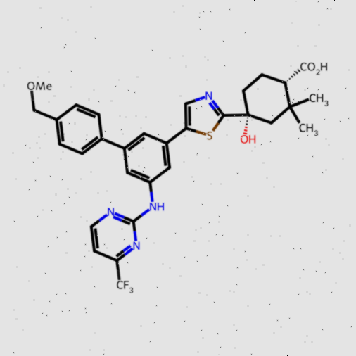 COCc1ccc(-c2cc(Nc3nccc(C(F)(F)F)n3)cc(-c3cnc([C@@]4(O)CC[C@H](C(=O)O)C(C)(C)C4)s3)c2)cc1